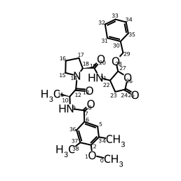 COc1c(C)cc(C(=O)N[C@@H](C)C(=O)N2CCC[C@H]2C(=O)NC2CC(=O)OC2OCc2ccccc2)cc1C